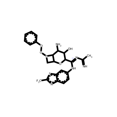 CC(=N)/N=C(\Nc1ccc2nc(C(F)(F)F)sc2c1)C1OC2CP(OOc3ccccc3)C2C(N)C1O